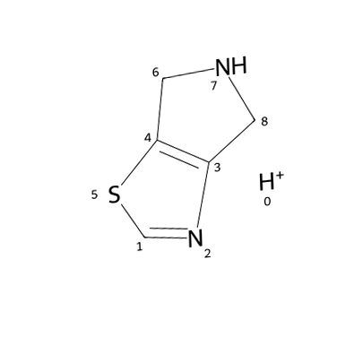 [H+].c1nc2c(s1)CNC2